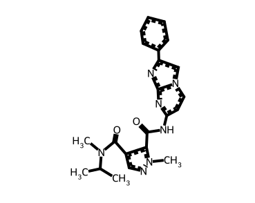 CC(C)N(C)C(=O)c1cnn(C)c1C(=O)Nc1ccn2cc(-c3ccccc3)nc2n1